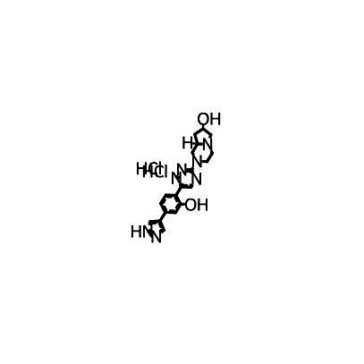 Cl.Cl.Oc1cc(-c2cn[nH]c2)ccc1-c1cnc(N2CCN3C[C@H](O)C[C@H]3C2)nn1